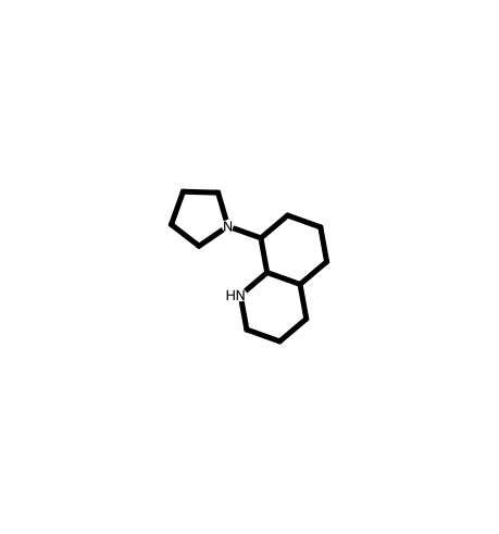 C1CNC2C(C1)CCCC2N1CCCC1